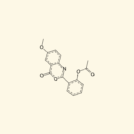 COc1ccc2nc(-c3ccccc3OC(C)=O)oc(=O)c2c1